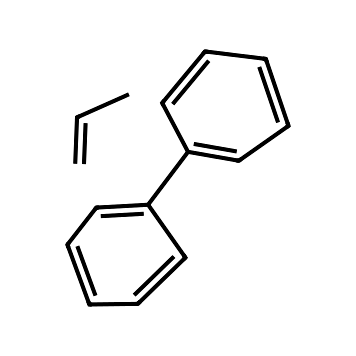 C=CC.c1ccc(-c2ccccc2)cc1